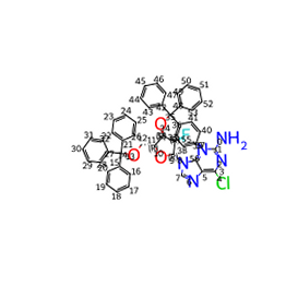 Nc1nc(Cl)c2ncn([C@@H]3O[C@H](COC(c4ccccc4)(c4ccccc4)c4ccccc4)[C@@H](OC(c4ccccc4)(c4ccccc4)c4ccccc4)[C@H]3F)c2n1